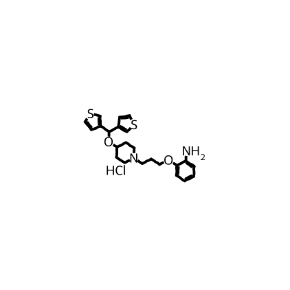 Cl.Nc1ccccc1OCCCN1CCC(OC(c2ccsc2)c2ccsc2)CC1